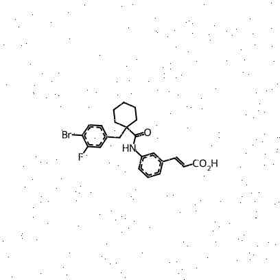 O=C(O)/C=C/c1cccc(NC(=O)C2(Cc3ccc(Br)c(F)c3)CCCCC2)c1